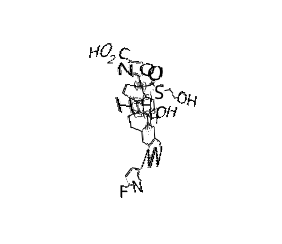 C[C@]12Cc3cnn(-c4ccc(F)nc4)c3C=C1CC[C@@H]1[C@@H]2[C@@H](O)C[C@@]2(C)[C@H]1CC[C@]2(C(=O)SCCO)c1nc(C(=O)O)co1